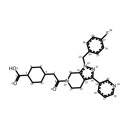 O=C(O)C1CCC(CC(=O)N2CCc3c(-c4cccnc4)nn(Cc4ccc(F)cc4)c3C2)CC1